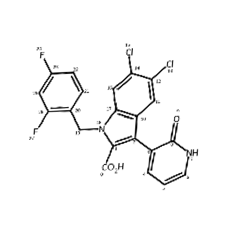 O=C(O)c1c(-c2ccc[nH]c2=O)c2cc(Cl)c(Cl)cc2n1Cc1ccc(F)cc1F